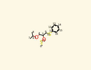 CSOC(COC(C)C)CSc1ccccc1